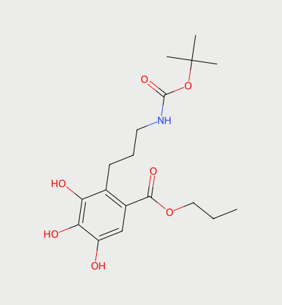 CCCOC(=O)c1cc(O)c(O)c(O)c1CCCNC(=O)OC(C)(C)C